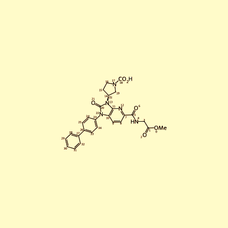 COC(=O)CNC(=O)c1ccc2c(n1)n([C@H]1CCN(C(=O)O)C1)c(=O)n2-c1ccc(-c2ccccc2)cc1